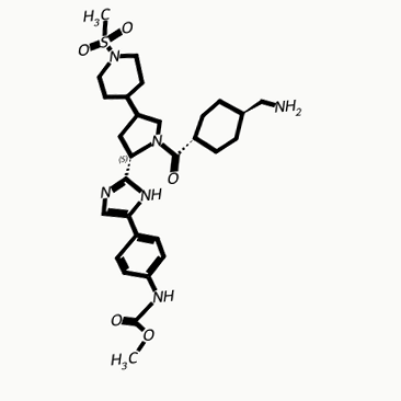 COC(=O)Nc1ccc(-c2cnc([C@@H]3CC(C4CCN(S(C)(=O)=O)CC4)CN3C(=O)[C@H]3CC[C@H](CN)CC3)[nH]2)cc1